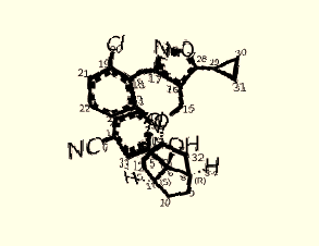 N#Cc1ccnc([C@]2(O)[C@@H]3CC[C@H]2C[C@H](OCc2c(-c4c(Cl)cccc4Cl)noc2C2CC2)C3)c1